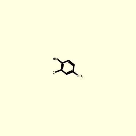 [CH2]C(C)(C)c1ccc([N+](=O)[O-])cc1Cl